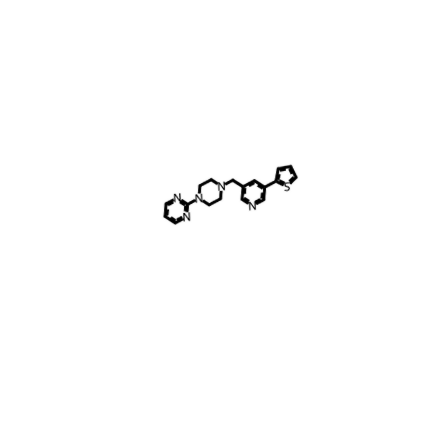 c1cnc(N2CCN(Cc3cncc(-c4cccs4)c3)CC2)nc1